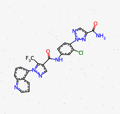 NC(=O)c1cnn(-c2ccc(NC(=O)c3cnn(-c4cccc5ncccc45)c3C(F)(F)F)cc2Cl)n1